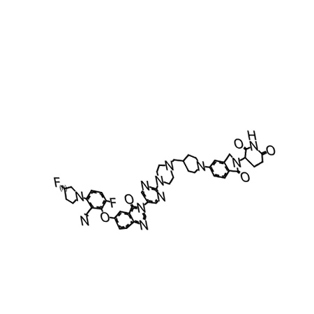 N#Cc1c(N2CC[C@@H](F)C2)ccc(F)c1Oc1ccc2ncn(-c3cnc(N4CCN(CC5CCN(c6ccc7c(c6)CN(C6CCC(=O)NC6=O)C7=O)CC5)CC4)nc3)c(=O)c2c1